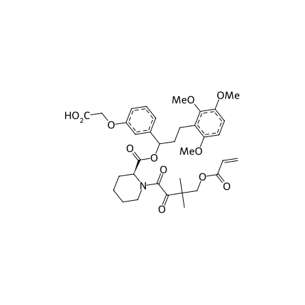 C=CC(=O)OCC(C)(C)C(=O)C(=O)N1CCCC[C@H]1C(=O)OC(CCc1c(OC)ccc(OC)c1OC)c1cccc(OCC(=O)O)c1